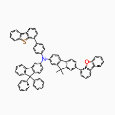 CC1(C)c2cc(-c3cccc4c3oc3ccccc34)ccc2-c2ccc(N(c3ccc(-c4cccc5c4sc4ccccc45)cc3)c3ccc4c(c3)-c3ccccc3C4(c3ccccc3)c3ccccc3)cc21